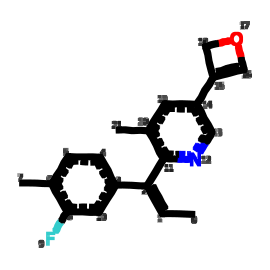 C/C=C(/c1ccc(C)c(F)c1)c1ncc(C2=COC2)cc1C